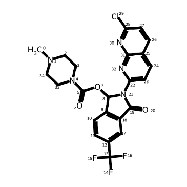 CN1CCN(C(=O)OC2c3ccc(C(F)(F)F)cc3C(=O)N2c2ccc3ccc(Cl)nc3n2)CC1